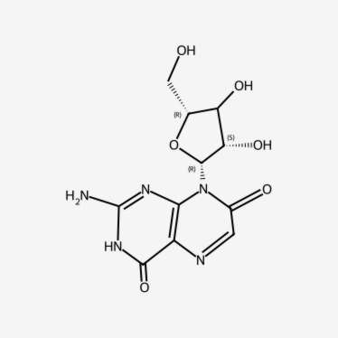 Nc1nc2c(ncc(=O)n2[C@@H]2O[C@H](CO)C(O)[C@@H]2O)c(=O)[nH]1